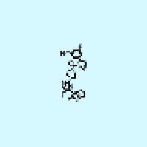 Cc1nn2c(c1-c1nc(N3CCN(C(=O)N4N=CCC4c4cc(F)cc(C#N)c4)CC3)ncc1F)CCC2